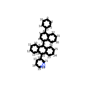 c1ccc(-c2ccc(-c3c4ccccc4c(-c4cccnc4)c4ccccc34)c3ccccc23)cc1